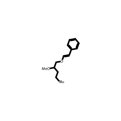 CCC(C)CCC(CO[C]=Cc1cc[c]cc1)OC